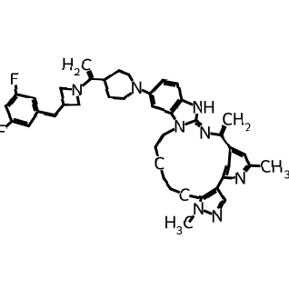 C=C1/N=C2\Nc3ccc(N4CCC(C(=C)N5CC(Cc6cc(F)cc(F)c6)C5)CC4)cc3N2CCCCCCc2c(cnn2C)-c2cc1cc(C)n2